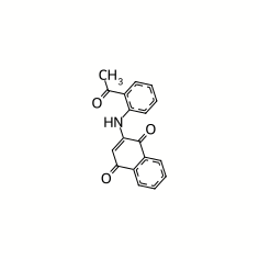 CC(=O)c1ccccc1NC1=CC(=O)c2ccccc2C1=O